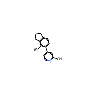 CC(C)c1c(-c2ccnc(C#N)c2)ccc2c1CCC2